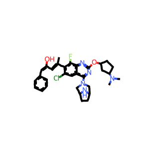 C/C(=C\C(O)=C/c1ccccc1)c1c(Cl)cc2c(N3CC4CCC(C3)N4)nc(OC3CCC(N(C)C)C3)nc2c1F